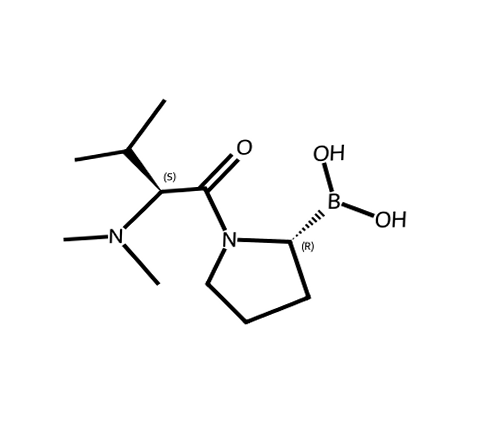 CC(C)[C@@H](C(=O)N1CCC[C@H]1B(O)O)N(C)C